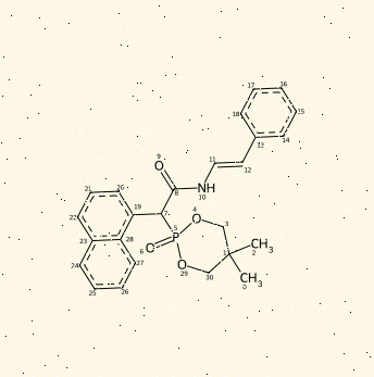 CC1(C)COP(=O)(C(C(=O)N/C=C/c2ccccc2)c2cccc3ccccc23)OC1